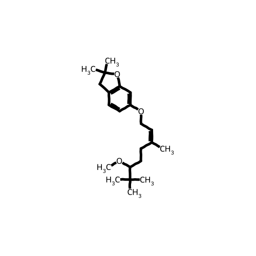 COC(CCC(C)=CCOc1ccc2c(c1)OC(C)(C)C2)C(C)(C)C